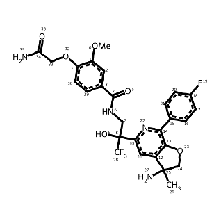 COc1cc(C(=O)NCC(O)(c2cc3c(c(-c4ccc(F)cc4)n2)OCC3(C)N)C(F)(F)F)ccc1OCC(N)=O